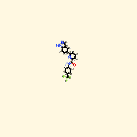 O=C(Nc1ccc(C(F)(F)F)cc1)c1cccc(-c2ccc3[nH]ncc3c2)n1